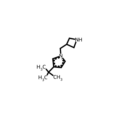 CC(C)(C)c1ccn(CC2CNC2)c1